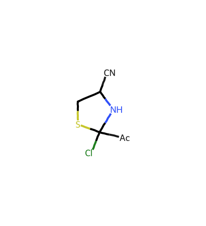 CC(=O)C1(Cl)NC(C#N)CS1